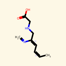 C=N/C(=C\C=C/C)CNCC(=O)O